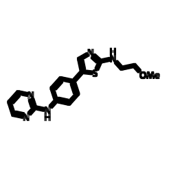 COCCNc1ncc(-c2ccc(Nc3ncccn3)cc2)s1